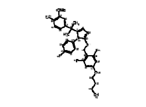 COc1cc(C(C)(C)c2cnc(SCc3c(F)cc(OCCCO)cc3F)n2-c2ccc(F)cc2)ccc1Cl